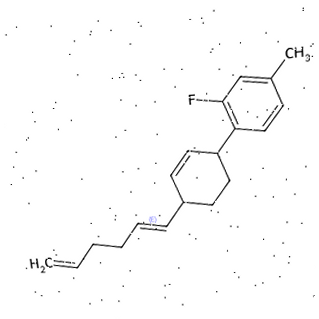 C=CCC/C=C/C1C=CC(c2ccc(C)cc2F)CC1